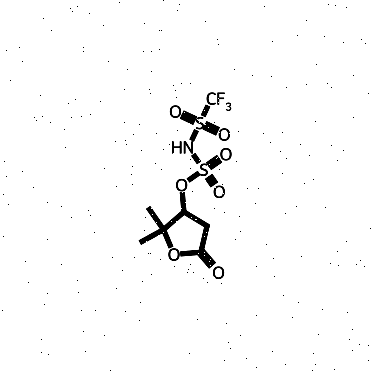 CC1(C)OC(=O)CC1OS(=O)(=O)NS(=O)(=O)C(F)(F)F